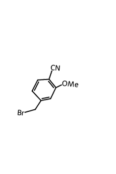 COc1cc(CBr)ccc1C#N